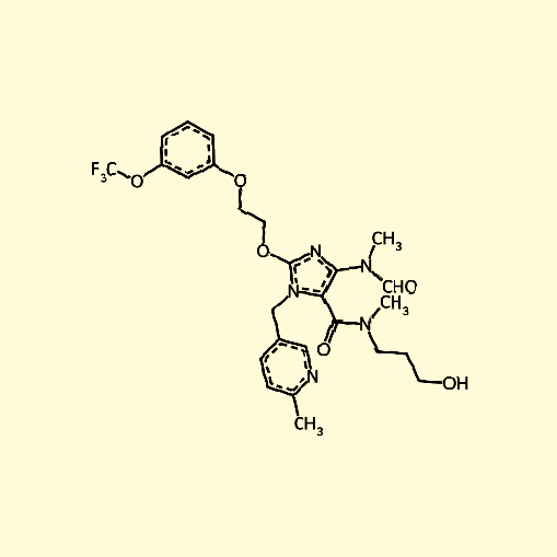 Cc1ccc(Cn2c(OCCOc3cccc(OC(F)(F)F)c3)nc(N(C)C=O)c2C(=O)N(C)CCCO)cn1